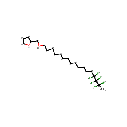 FC(F)(F)C(F)(F)C(F)(F)C(F)(F)CCCCCCCCCCCCCOCC1CCCO1